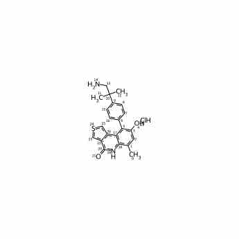 Cc1cc(O)c(-c2ccc(C(C)(C)CN)cc2)c2c1[nH]c(=O)c1cscc12.Cl